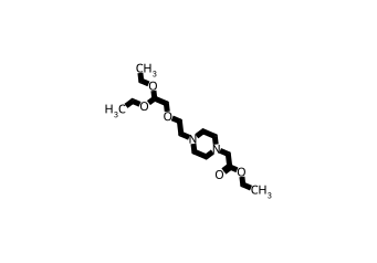 CCOC(=O)CN1CCN(CCOCC(OCC)OCC)CC1